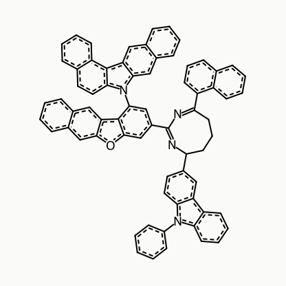 c1ccc(-n2c3ccccc3c3cc(C4CCC/C(c5cccc6ccccc56)=N\C(c5cc(-n6c7cc8ccccc8cc7c7c8ccccc8ccc76)c6c(c5)oc5cc7ccccc7cc56)=N/4)ccc32)cc1